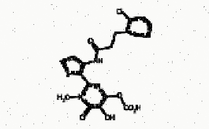 Cn1c(-c2sccc2NC(=O)CCc2ccccc2Cl)nc(OC(=O)O)c(O)c1=O